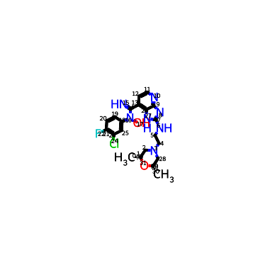 C[C@@H]1CN(CCNc2nc3nccc(C(=N)N(O)c4ccc(F)c(Cl)c4)c3[nH]2)C[C@H](C)O1